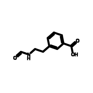 O=CNCCc1cccc(C(=O)O)c1